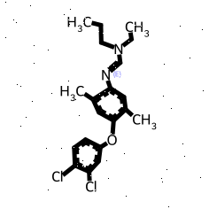 CCCN(/C=N/c1cc(C)c(Oc2ccc(Cl)c(Cl)c2)cc1C)CC